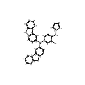 Cc1cc(N(c2ccc3c(c2)-c2ccccc2C3)c2ccc3c(c2)-c2ccccc2C3)ccc1CC1=C=CC=C1